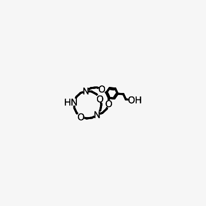 OCCc1ccc2c(c1)OCCN1CCOCCNCCN(CCOCC1)CCO2